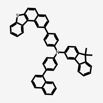 CC1(C)c2ccccc2-c2cc(N(c3ccc(-c4ccc5ccc6sc7ccccc7c6c5c4)cc3)c3ccc(-c4cccc5ccccc45)cc3)ccc21